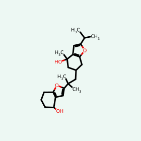 CC(C)c1cc2c(o1)CC(CC(C)(C)c1cc3c(o1)CCCC3O)CC2(C)O